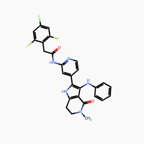 CN1CCc2[nH]c(-c3ccnc(NC(=O)Cc4c(F)cc(F)cc4F)c3)c(Nc3ccccc3)c2C1=O